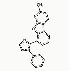 Cc1ccc2c(n1)oc1c(-c3nccn3-c3ccccc3)cccc12